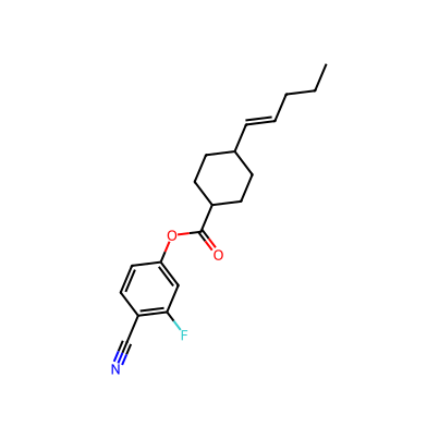 CCC/C=C/C1CCC(C(=O)Oc2ccc(C#N)c(F)c2)CC1